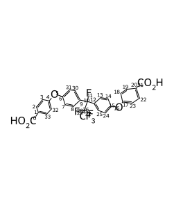 O=C(O)c1ccc(Oc2ccc(C(F)(c3ccc(Oc4ccc(C(=O)O)cc4)cc3)C(F)(F)C(F)(F)F)cc2)cc1